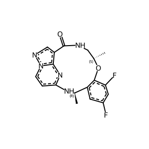 C[C@H]1CNC(=O)c2cnn3ccc(nc23)N[C@H](C)c2cc(F)cc(F)c2O1